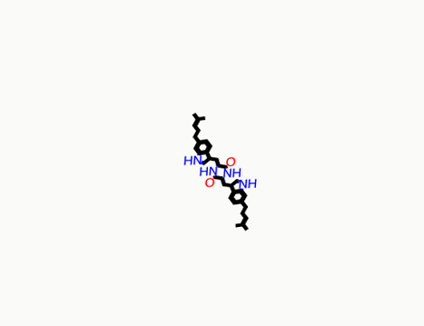 CC(C)=CCCc1ccc2c(c1)NCC2CC1NC(=O)C(CC2CNc3cc(CCC=C(C)C)ccc32)NC1=O